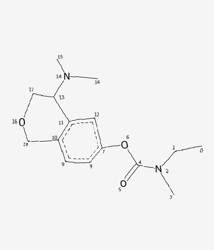 CCN(C)C(=O)Oc1ccc2c(c1)C(N(C)C)COC2